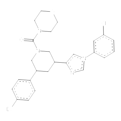 CCc1ccc(C2CC(c3cn(-c4cccc(Cl)c4)cn3)CN(C(=O)N3CCOCC3)C2)cc1